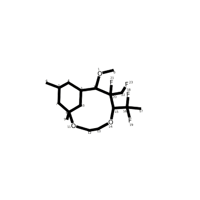 COC1C2CC(C)CC(C)(C2)OCCOC(C(C)(F)F)C1(F)CF